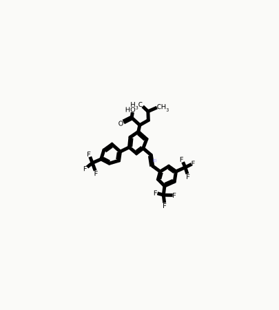 CC(C)CC(C(=O)O)c1cc(/C=C/c2cc(C(F)(F)F)cc(C(F)(F)F)c2)cc(-c2ccc(C(F)(F)F)cc2)c1